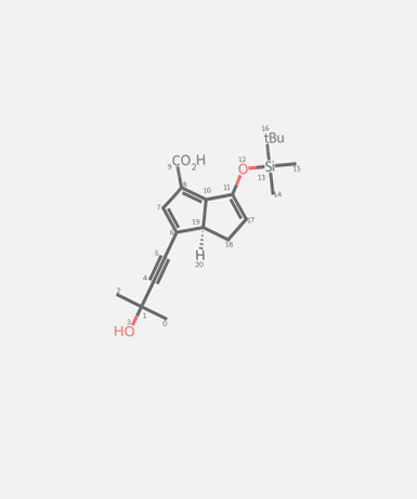 CC(C)(O)C#CC1=CC(C(=O)O)=C2C(O[Si](C)(C)C(C)(C)C)=CC[C@@H]12